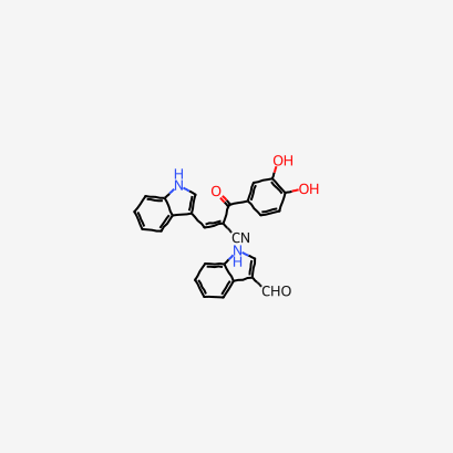 N#CC(=Cc1c[nH]c2ccccc12)C(=O)c1ccc(O)c(O)c1.O=Cc1c[nH]c2ccccc12